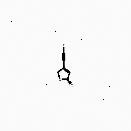 O=C1C=C(C#CF)CO1